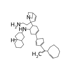 C=C(C1=CCC(C2=CCC(C3(CCN)C=CC4CN3C4)C(NC3CC[C@H]4CCCCC4C3)C2)C=C1)C1/C=C\CCCCC1